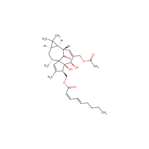 CCCC/C=C/C=C\C(=O)OC[C@H]1C(C)=CC23C(=O)[C@@H](C=C(COC(C)=O)[C@@H](O)[C@]12O)[C@H]1[C@@H](C[C@H]3C)C1(C)C